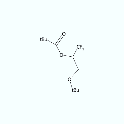 CC(C)(C)OCC(OC(=O)C(C)(C)C)C(F)(F)F